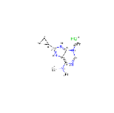 CCCn1cnc(N(CC)CC)c2nc(C3CC3)nc1-2.Cl